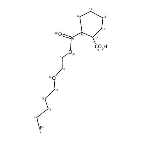 CC(C)CCCCOCCOC(=O)C1CCCCC1C(=O)O